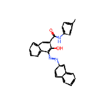 Cc1ccc(NC(=O)c2cc3ccccc3c(/N=N/c3ccc4ccccc4c3)c2O)cc1